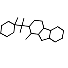 CC1C2CC3CCCCC3C2CCC1C(C)(C)C1(C)CCCCC1